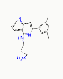 Cc1cc(C)cc(-c2cc3ncccc3c(NCCCN)n2)c1